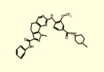 CN1CCC(NC(=O)c2ccc(Nc3ncc4c(n3)-c3c(c(C(=O)Nc5ccccc5)nn3C)CC4)c(OC(F)(F)F)c2)CC1